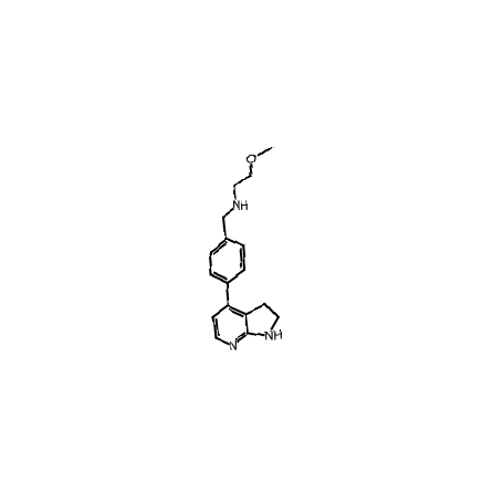 COCCNCc1ccc(-c2ccnc3c2CCN3)cc1